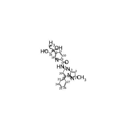 Cc1cc2nc(NC(=O)c3ccc([C@@](C)(O)CO)cn3)cc(-c3ccccc3)n2n1